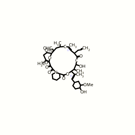 C=CCC1/C=C(\C)CC(C)CC(C=O)C2OC(O)(C(=O)C(=O)N3CCCCC3C(=O)OC(/C(C)=C/C3CCC(O)C(OC)C3)C(C)C(O)CC1=O)C(C)CC2C=O